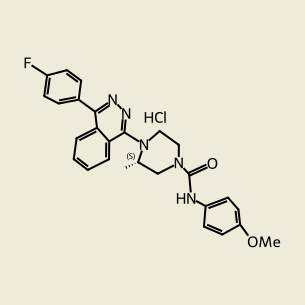 COc1ccc(NC(=O)N2CCN(c3nnc(-c4ccc(F)cc4)c4ccccc34)[C@@H](C)C2)cc1.Cl